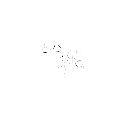 CCOC(=O)c1c(Nc2ccncc2)nc(N2CCOCC2)nc1-c1cccc(-n2cccn2)c1